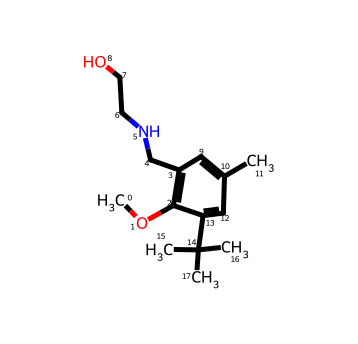 COc1c(CNCCO)cc(C)cc1C(C)(C)C